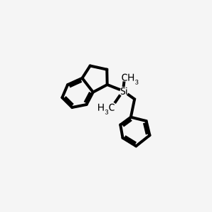 C[Si](C)(Cc1ccccc1)C1CCc2ccccc21